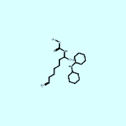 C1CCC(NC2CCCCC2)CC1.C=CCCCCCC(NC(=O)OC(C)(C)C)C(=O)O